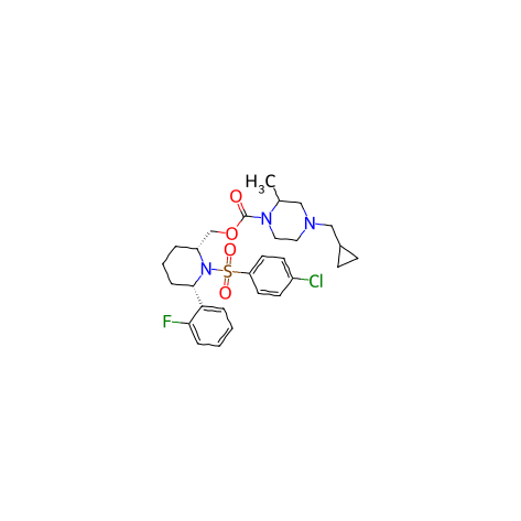 CC1CN(CC2CC2)CCN1C(=O)OC[C@H]1CCC[C@@H](c2ccccc2F)N1S(=O)(=O)c1ccc(Cl)cc1